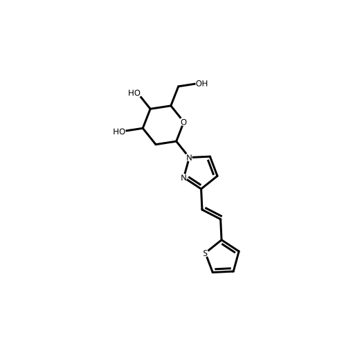 OCC1OC(n2ccc(/C=C/c3cccs3)n2)CC(O)C1O